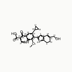 COc1c(-c2cc3c(s2)CCC(CO)=C3)c(C2CC2)cc2c(=O)c(C(=O)O)c[nH]c12